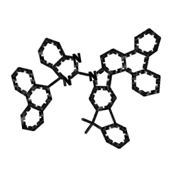 CC1(C)c2ccccc2-c2cc3c4c5c6ccccc6c6ccccc6c5ccc4n(-c4nc(-c5cc6ccccc6c6ccccc56)c5ccccc5n4)c3cc21